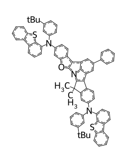 CC(C)(C)c1cccc(N(c2ccc3c(c2)C(C)(C)c2c-3c3cc(-c4ccccc4)cc4c5c6ccc(N(c7cccc(C(C)(C)C)c7)c7cccc8c7sc7ccccc78)cc6oc5n2c34)c2cccc3c2sc2ccccc23)c1